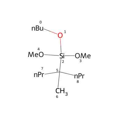 CCCCO[Si](OC)(OC)C(C)(CCC)CCC